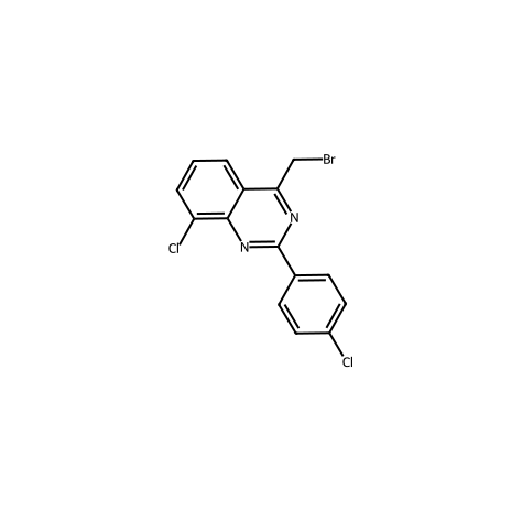 Clc1ccc(-c2nc(CBr)c3cccc(Cl)c3n2)cc1